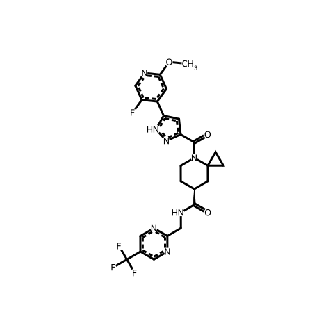 COc1cc(-c2cc(C(=O)N3CC[C@H](C(=O)NCc4ncc(C(F)(F)F)cn4)CC34CC4)n[nH]2)c(F)cn1